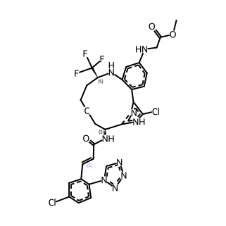 COC(=O)CNc1ccc2c(c1)N[C@H](C(F)(F)F)CCCC[C@H](NC(=O)/C=C/c1cc(Cl)ccc1-n1cnnn1)c1nc-2c(Cl)[nH]1